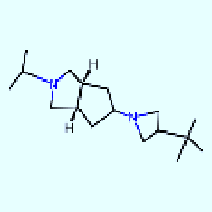 CC(C)N1C[C@H]2CC(N3CC(C(C)(C)C)C3)C[C@H]2C1